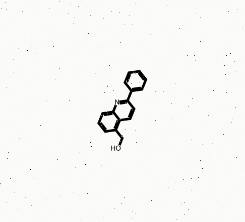 OCc1cccc2nc(-c3ccccc3)ccc12